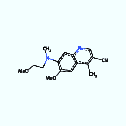 COCCN(C)c1cc2ncc(C#N)c(C)c2cc1OC